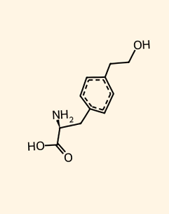 N[C@@H](Cc1ccc(CCO)cc1)C(=O)O